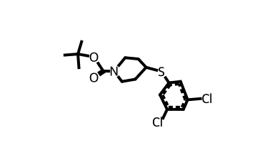 CC(C)(C)OC(=O)N1CCC(Sc2cc(Cl)cc(Cl)c2)CC1